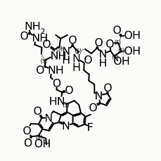 CC[C@@]1(O)C(=O)OCc2c1cc1n(c2=O)Cc2c-1nc1cc(F)c(C)c3c1c2[C@@H](NC(=O)COCNC(=O)[C@H](CCCNC(N)=O)NC(=O)[C@@H](NC(=O)[C@H](CCC(=O)NC1O[C@H](C(=O)O)[C@@H](O)[C@H]1O)NC(=O)CCCCCN1C(=O)C=CC1=O)C(C)C)CC3